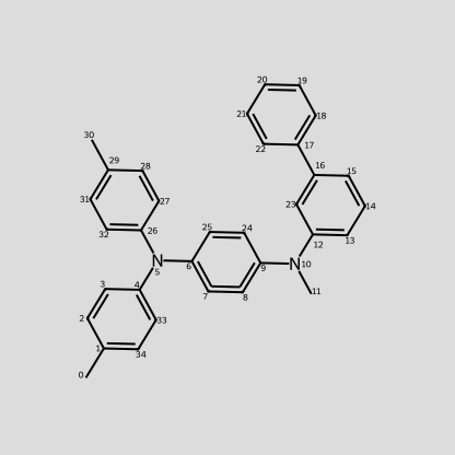 Cc1ccc(N(C2=C=C=C(N(C)c3cccc(-c4ccccc4)c3)C=C2)c2ccc(C)cc2)cc1